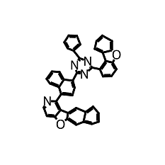 c1ccc(-c2nc(-c3ccc(-c4nccc5oc6cc7ccccc7cc6c45)c4ccccc34)nc(-c3cccc4oc5ccccc5c34)n2)cc1